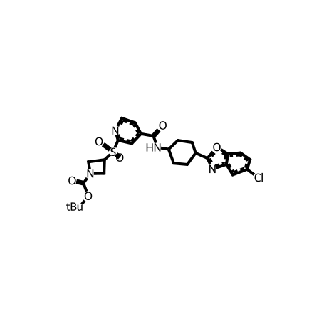 CC(C)(C)OC(=O)N1CC(S(=O)(=O)c2cc(C(=O)NC3CCC(c4nc5cc(Cl)ccc5o4)CC3)ccn2)C1